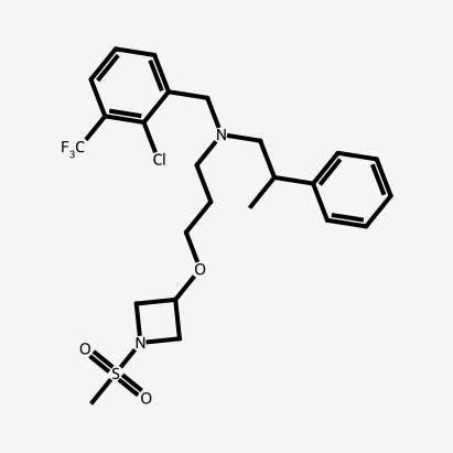 CC(CN(CCCOC1CN(S(C)(=O)=O)C1)Cc1cccc(C(F)(F)F)c1Cl)c1ccccc1